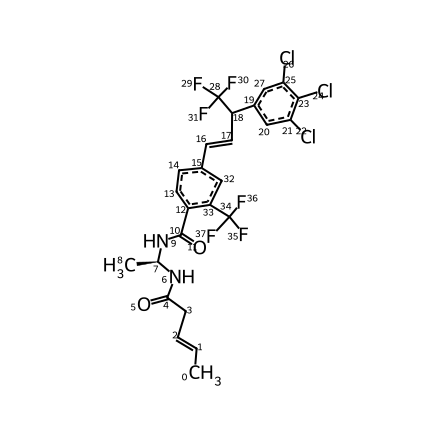 C/C=C/CC(=O)N[C@@H](C)NC(=O)c1ccc(/C=C/C(c2cc(Cl)c(Cl)c(Cl)c2)C(F)(F)F)cc1C(F)(F)F